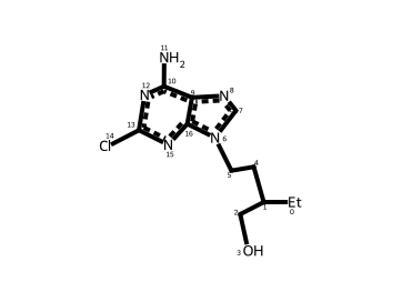 CCC(CO)CCn1cnc2c(N)nc(Cl)nc21